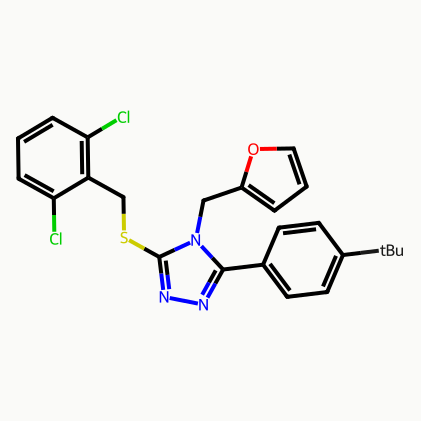 CC(C)(C)c1ccc(-c2nnc(SCc3c(Cl)cccc3Cl)n2Cc2ccco2)cc1